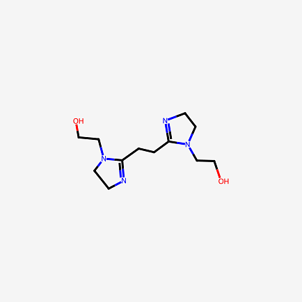 OCCN1CCN=C1CCC1=NCCN1CCO